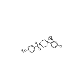 Cc1ccc(S(=O)(=O)N2CCC(C#N)(c3ccc(Cl)cc3Cl)CC2)cc1